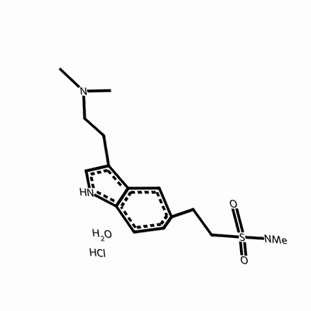 CNS(=O)(=O)CCc1ccc2[nH]cc(CCN(C)C)c2c1.Cl.O